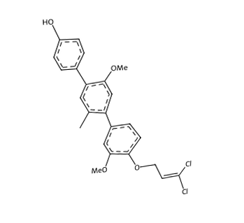 COc1cc(-c2cc(OC)c(-c3ccc(O)cc3)cc2C)ccc1OCC=C(Cl)Cl